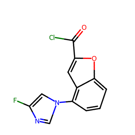 O=C(Cl)c1cc2c(-n3cnc(F)c3)cccc2o1